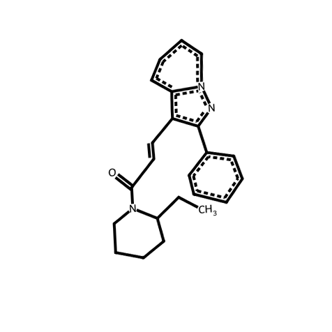 CCC1CCCCN1C(=O)/C=C/c1c(-c2ccccc2)nn2ccccc12